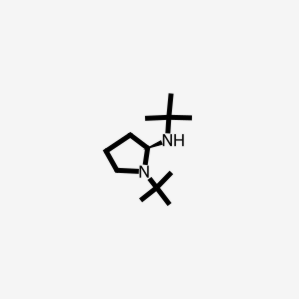 CC(C)(C)N[C@@H]1CCCN1C(C)(C)C